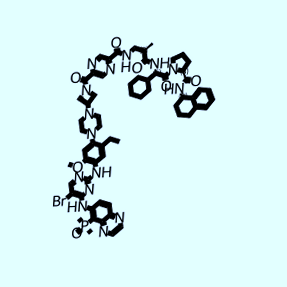 CCc1cc(Nc2ncc(Br)c(Nc3ccc4nccnc4c3P(C)(C)=O)n2)c(OC)cc1N1CCN(C2CN(C(=O)c3cnc(C(=O)NC[C@@H](C)C(=O)N[C@H](C(=O)N4CCC[C@H]4C(=O)N[C@@H]4CCCc5ccccc54)C4CCCCC4)cn3)C2)CC1